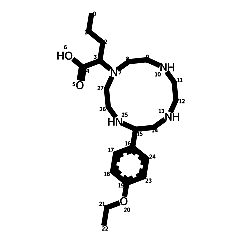 CCCC(C(=O)O)N1CCNCCNCC(c2ccc(OCC)cc2)NCC1